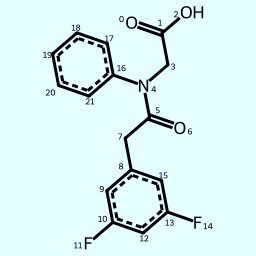 O=C(O)CN(C(=O)Cc1cc(F)cc(F)c1)c1ccccc1